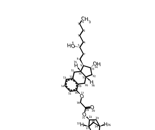 CCCCC[C@@H](O)CC[C@@H]1[C@H]2Cc3cccc(OCC(=O)O[C@H]4C[C@@H]5CC[C@H]4C5)c3C[C@H]2C[C@H]1O